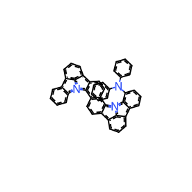 c1ccc(N(c2ccccc2)c2cccc3c4cccc5c6ccc7c(ccc8c9cccc%10c%11ccccc%11n(c%109)c87)c6n(c23)c45)cc1